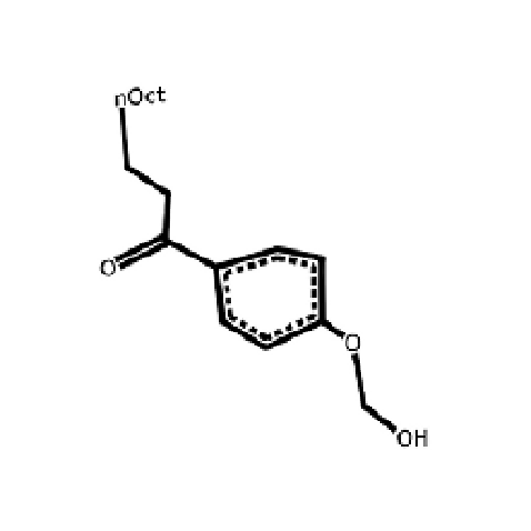 CCCCCCCCCCC(=O)c1ccc(OCO)cc1